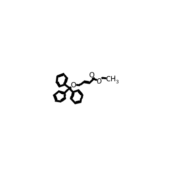 CCOC(=O)/C=C/COC(c1ccccc1)(c1ccccc1)c1ccccc1